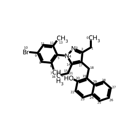 CCc1nn(-c2c(C)cc(Br)cc2C)c(CC)c1Cc1c(O)ccc2ccccc12